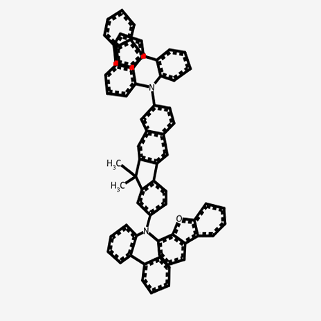 CC1(C)c2cc(N(c3ccccc3-c3ccccc3)c3cccc4c3oc3ccccc34)ccc2-c2cc3ccc(N(c4ccccc4-c4ccccc4)c4cccc5c4oc4ccccc45)cc3cc21